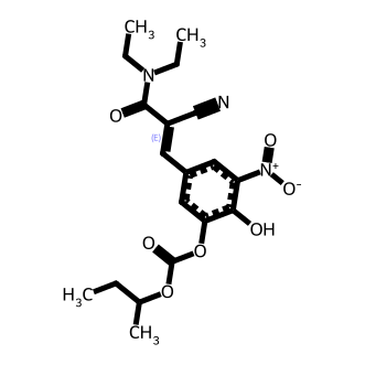 CCC(C)OC(=O)Oc1cc(/C=C(\C#N)C(=O)N(CC)CC)cc([N+](=O)[O-])c1O